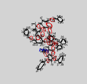 CCC1OC(OC2C(OCC3OC(OC4C(COCc5ccccc5)OC(OC5C(OCc6ccccc6)C(C)C(OCc6ccccc6)C6OC(C)(C)OC56)C(N=[N+]=[N-])C4C)C(OCc4ccccc4)C(C)C3C)OC(COCc3ccccc3)C(C)C2C)C(OC2OC(COCc3ccccc3)C(C)C(C)C2OCc2ccccc2)C(C)C1C